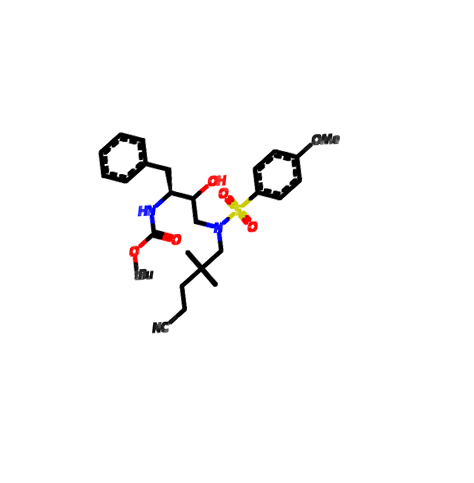 COc1ccc(S(=O)(=O)N(CC(O)[C@H](Cc2ccccc2)NC(=O)OC(C)(C)C)CC(C)(C)CCC#N)cc1